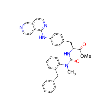 COC(=O)[C@H](Cc1ccc(Nc2nccc3cnccc23)cc1)NC(=O)N(C)c1ccccc1Cc1ccccc1